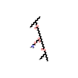 CCCCCC(CCCCC)CCOC(=O)CCCCCCCC(CCCCCCCC(=O)OCCC(CCCCC)CCCCC)OC(=O)CCOCCN(C)C